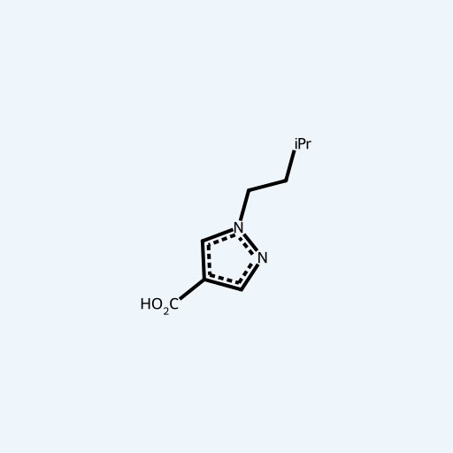 CC(C)CCn1cc(C(=O)O)cn1